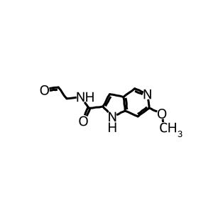 COc1cc2[nH]c(C(=O)NCC=O)cc2cn1